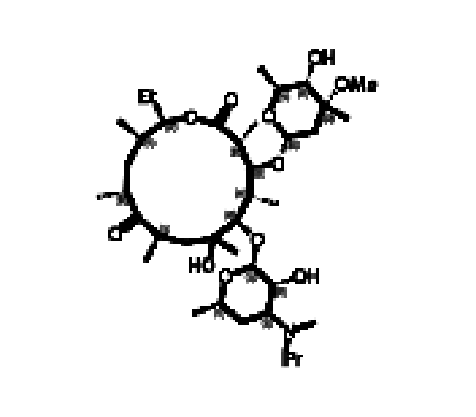 CC[C@H]1OC(=O)[C@H](C)[C@@H](O[C@H]2C[C@@](C)(OC)[C@@H](O)[C@H](C)O2)[C@H](C)[C@@H](O[C@@H]2O[C@H](C)C[C@H](N(C)C(C)C)[C@H]2O)C(C)(O)C[C@@H](C)C(=O)[C@H](C)C[C@H]1C